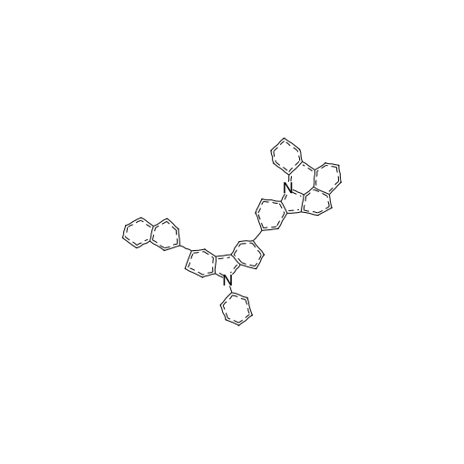 c1ccc(-n2c3ccc(-c4ccc5ccccc5c4)cc3c3cc(-c4ccc5c(c4)c4ccc6cccc7c8ccccc8n5c4c67)ccc32)cc1